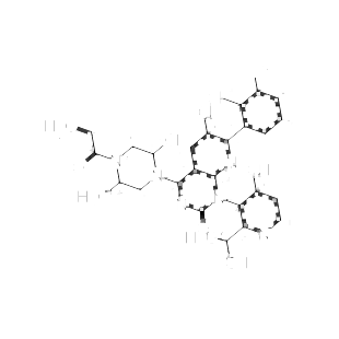 C=CC(=O)N1CC(C)N(c2nc(=O)n(-c3c(C)ccnc3C(C)C)c3nc(-c4cccc(F)c4Cl)c(Cl)cc23)CC1C